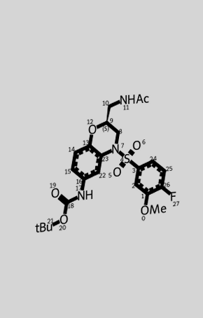 COc1cc(S(=O)(=O)N2C[C@H](CNC(C)=O)Oc3ccc(NC(=O)OC(C)(C)C)cc32)ccc1F